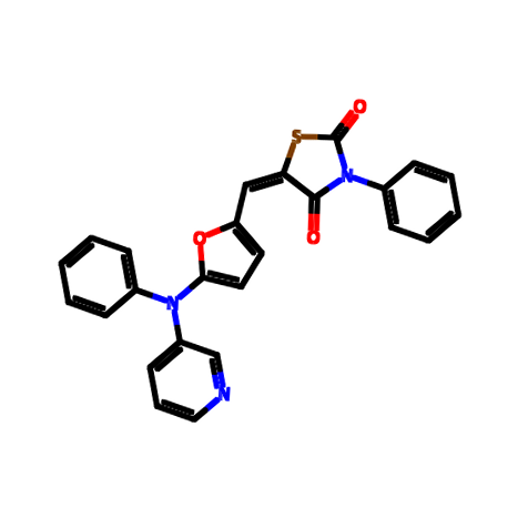 O=C1S/C(=C/c2ccc(N(c3ccccc3)c3cccnc3)o2)C(=O)N1c1ccccc1